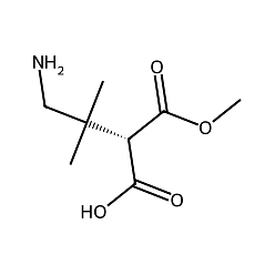 COC(=O)[C@H](C(=O)O)C(C)(C)CN